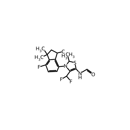 CC1CC(C)(C)c2c(F)ccc(N3C(C(F)F)=C(NC=O)SC3C)c21